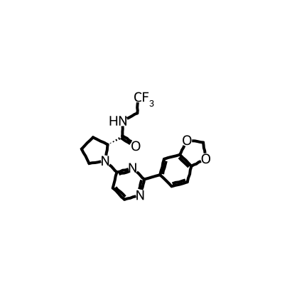 O=C(NCC(F)(F)F)[C@H]1CCCN1c1ccnc(-c2ccc3c(c2)OCO3)n1